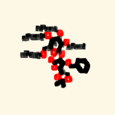 CCCCCOC[C@H]1O[C@@H](OC2=C(OCc3ccccc3)[C@@H]([C@@H]3COC(C)(C)O3)OC2=O)[C@H](OCCCCC)[C@@H](OCCCCC)[C@@H]1OCCCCC